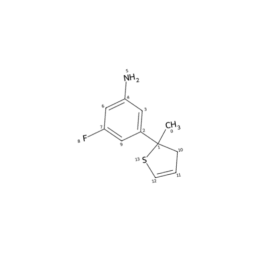 CC1(c2cc(N)cc(F)c2)CC=CS1